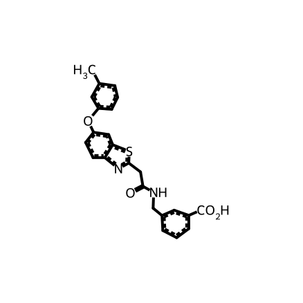 Cc1cccc(Oc2ccc3nc(CC(=O)NCc4cccc(C(=O)O)c4)sc3c2)c1